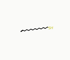 C=CCCCCCCCCCCCCS